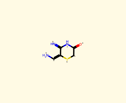 N=C1NC(=O)CS/C1=C/N